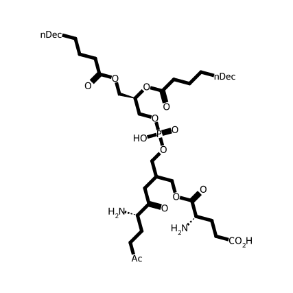 CCCCCCCCCCCCCC(=O)OC[C@H](COP(=O)(O)OCC(COC(=O)[C@@H](N)CCC(=O)O)CC(=O)[C@@H](N)CCC(C)=O)OC(=O)CCCCCCCCCCCCC